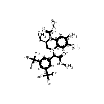 CC[C@@H]1CN(C(C(=O)OC)c2cc(C(F)(F)F)cc(C(F)(F)F)c2)c2cc(C)c(C)cc2N1C(=O)OC